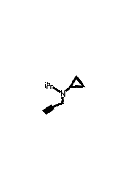 C#CCN(C(C)C)C1CC1